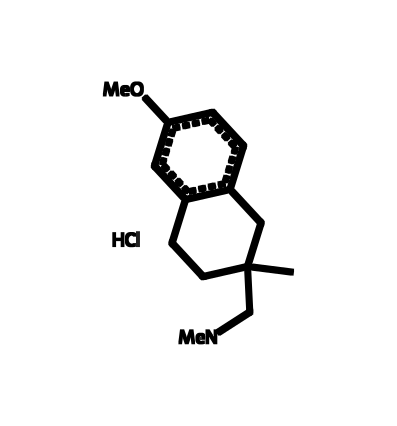 CNCC1(C)CCc2cc(OC)ccc2C1.Cl